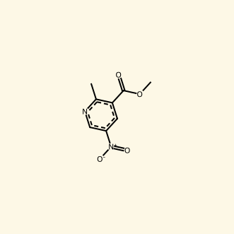 COC(=O)c1cc([N+](=O)[O-])cnc1C